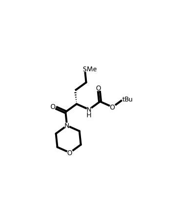 CSCC[C@H](NC(=O)OC(C)(C)C)C(=O)N1CCOCC1